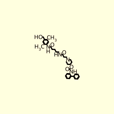 Cc1cc(NC(=O)CCCCNC(=O)CCN2CCC(OC(=O)Nc3ccccc3-c3ccccc3)CC2)c(C)cc1CO